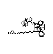 CCCCCCCCC=CCCCCCCCCC1(C(=O)NC2CCCCC2C(CNC(=O)C2OC(C)(C)OCC2(C)C)C(=O)O)CCCCC1